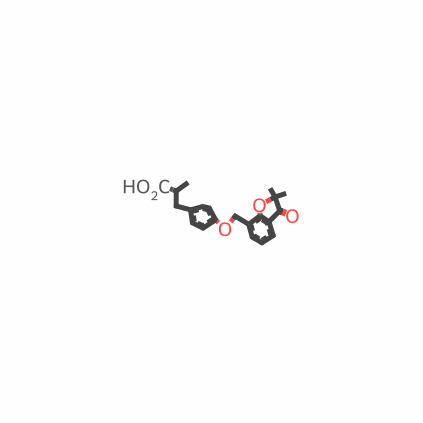 CC(Cc1ccc(OCc2cccc3c2OC(C)(C)C3=O)cc1)C(=O)O